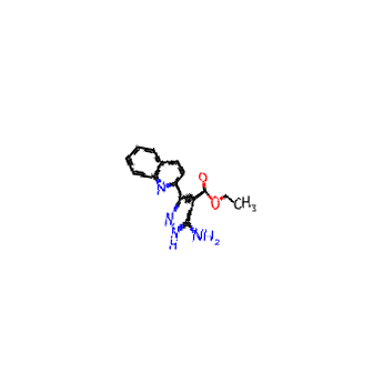 CCOC(=O)c1c(-c2ccc3ccccc3n2)n[nH]c1N